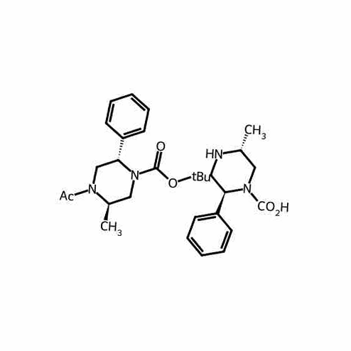 CC(=O)N1C[C@H](c2ccccc2)N(C(=O)OC(C)(C)C)C[C@H]1C.C[C@@H]1CN(C(=O)O)[C@@H](c2ccccc2)CN1